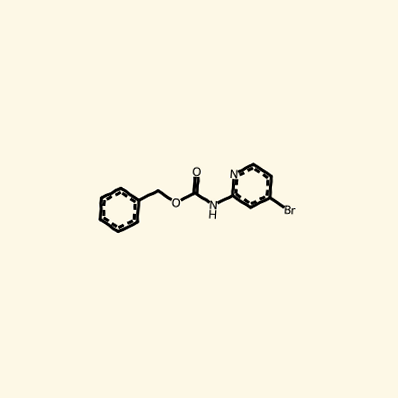 O=C(Nc1cc(Br)ccn1)OCc1ccccc1